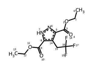 CCOC(=O)c1n[nH]c(C(=O)OCC)c1CC(F)(F)F